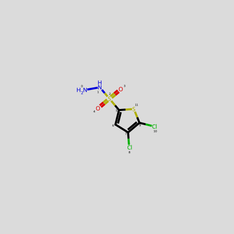 NNS(=O)(=O)c1cc(Cl)c(Cl)s1